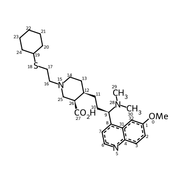 COc1ccc2nccc([C@@H](CC[C@@H]3CCN(CCSC4CCCCC4)C[C@@H]3C(=O)O)N(C)C)c2c1